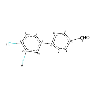 O=Cc1ccc(-c2ccc(F)c(F)c2)cc1